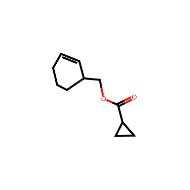 O=C(OCC1C=CCCC1)C1CC1